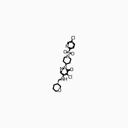 O=c1c(Cl)c(NC[C@@H]2CCCOC2)cnn1C1CCN(S(=O)(=O)c2ccc(Cl)cn2)CC1